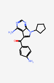 Nc1ccc(C(=O)c2cn(C3CCCC3)c3ncnc(N)c23)cc1